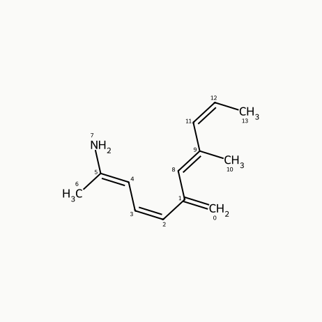 C=C(/C=C\C=C(/C)N)/C=C(C)/C=C\C